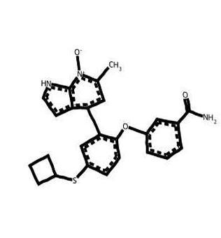 Cc1cc(-c2cc(SC3CCC3)ccc2Oc2cccc(C(N)=O)c2)c2cc[nH]c2[n+]1[O-]